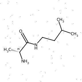 CC(C)CCNC(=O)[C@@H](C)N